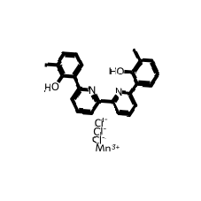 Cc1cccc(-c2cccc(-c3cccc(-c4cccc(C)c4O)n3)n2)c1O.[Cl-].[Cl-].[Cl-].[Mn+3]